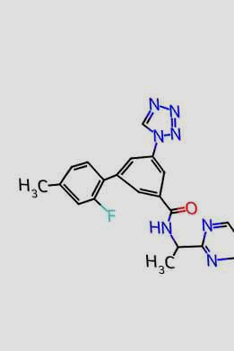 Cc1ccc(-c2cc(C(=O)NC(C)c3ncccn3)cc(-n3cnnn3)c2)c(F)c1